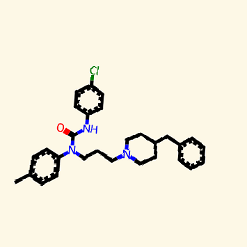 Cc1ccc(N(CCCN2CCC(Cc3ccccc3)CC2)C(=O)Nc2ccc(Cl)cc2)cc1